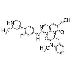 C#Cc1cc2cnc(Nc3ccc(N4CCNC(C)C4)c(F)c3)nc2n(C2Cc3ccccc3N(C)C2=O)c1=O